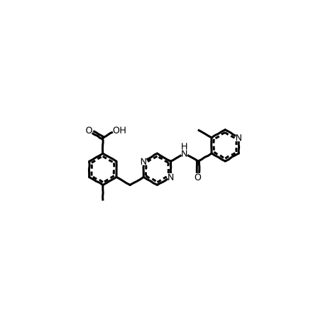 Cc1ccc(C(=O)O)cc1Cc1cnc(NC(=O)c2ccncc2C)cn1